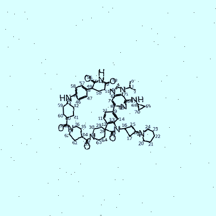 CC(C)n1cnc2cc(-c3ccc4c(c3)N(C3CC(N5CCCCC5)C3)C(=O)C43CCN(C(=O)C4CCN(C(=O)C5CCC(Nc6ccc(C7CCC(=O)NC7=O)cc6)CC5)CC4)CC3)nc(NC3CC3)c21